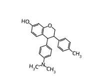 Cc1ccc(C2COc3cc(O)ccc3C2c2ccc(N(C)C)cc2)cc1